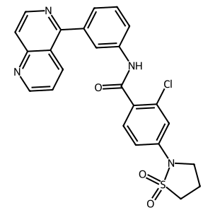 O=C(Nc1cccc(-c2nccc3ncccc23)c1)c1ccc(N2CCCS2(=O)=O)cc1Cl